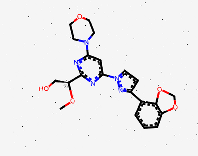 CO[C@@H](CO)c1nc(N2CCOCC2)cc(-n2ccc(-c3cccc4c3OCO4)n2)n1